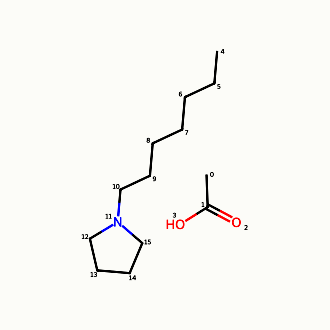 CC(=O)O.CCCCCCCN1CCCC1